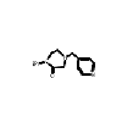 CC(C)N1CCN(Cc2ccncc2)CC1=O